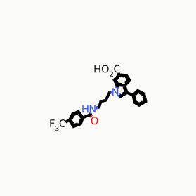 O=C(O)c1ccc2c(-c3ccccc3)cn(CCCCNC(=O)c3ccc(C(F)(F)F)cc3)c2c1